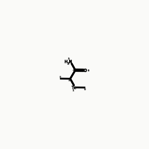 C[Te]C(C)C(N)=O